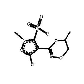 CC1CON=C(c2c(Cl)nn(C)c2S(=O)(=O)Cl)O1